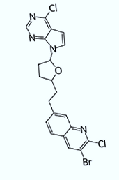 Clc1nc2cc(CCC3CCC(n4ccc5c(Cl)ncnc54)O3)ccc2cc1Br